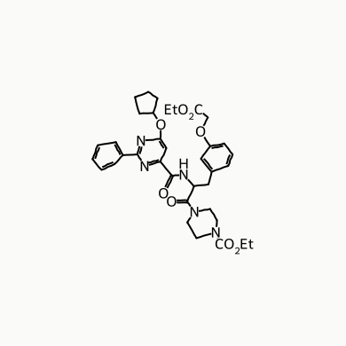 CCOC(=O)COc1cccc(CC(NC(=O)c2cc(OC3CCCC3)nc(-c3ccccc3)n2)C(=O)N2CCN(C(=O)OCC)CC2)c1